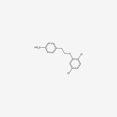 O=S(=O)(O)c1ccc(CCSc2cc(Cl)ccc2Cl)cc1